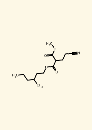 CCCC(C)CCOC(=O)C(CCC#N)C(=O)OC